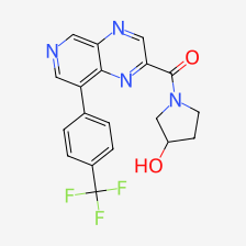 O=C(c1cnc2cncc(-c3ccc(C(F)(F)F)cc3)c2n1)N1CCC(O)C1